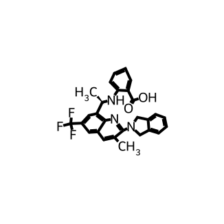 Cc1cc2cc(C(F)(F)F)cc([C@@H](C)Nc3ccccc3C(=O)O)c2nc1N1Cc2ccccc2C1